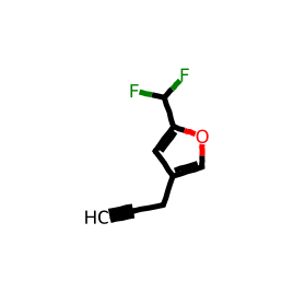 C#CCc1coc(C(F)F)c1